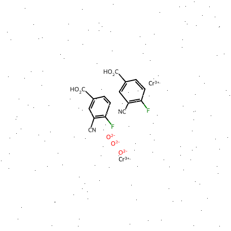 N#Cc1cc(C(=O)O)ccc1F.N#Cc1cc(C(=O)O)ccc1F.[Cr+3].[Cr+3].[O-2].[O-2].[O-2]